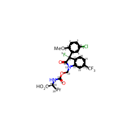 COc1ccc(Cl)cc1[C@]1(F)C(=O)N(COC(=O)N[C@H](C(=O)O)C(C)C)c2cc(C(F)(F)F)ccc21